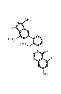 CC(=O)OCc1c(-c2cc(C(=O)O)c3[nH]nc(N)c3c2)cccc1-n1ncc2cc(C(C)(C)C)cc(F)c2c1=O